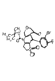 CC(C)(C)OC(=O)N1C2=C(C(=O)COC2)C(c2ccc(F)c(Br)c2)C2=C1CCS2(=O)=O